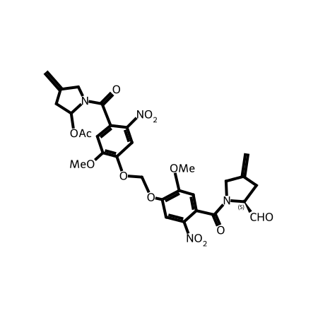 C=C1CC(OC(C)=O)N(C(=O)c2cc(OC)c(OCOc3cc([N+](=O)[O-])c(C(=O)N4CC(=C)C[C@H]4C=O)cc3OC)cc2[N+](=O)[O-])C1